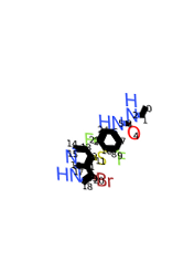 CCNC(=O)Nc1cc(F)c(Sc2ccnc3[nH]cc(Br)c23)c(F)c1